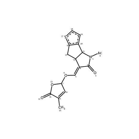 CC(=O)N1C(=O)/C(=C/OC2C=C(C)C(=O)O2)C2Cc3sccc3C21